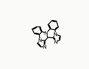 c1ccc2c(c1)N1c3ccccc3-n3ccnc3C1c1nccn1-2